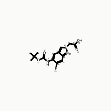 CC(C)(C)OC(=O)Nc1cc2cn(CC(=O)O)nc2cc1F